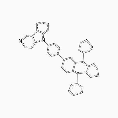 c1ccc(-c2c3ccccc3c(-c3ccccc3)c3cc(-c4ccc(-n5c6ccccc6c6cnccc65)cc4)ccc23)cc1